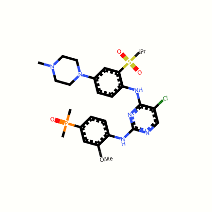 COc1cc(P(C)(C)=O)ccc1Nc1ncc(Cl)c(Nc2ccc(N3CCN(C)CC3)cc2S(=O)(=O)C(C)C)n1